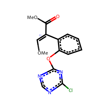 CO/C=C(/C(=O)OC)c1ccccc1Oc1ncnc(Cl)n1